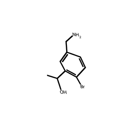 CC(O)c1cc(CN)ccc1Br